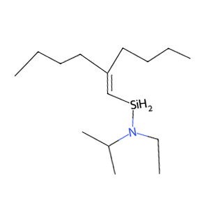 CCCCC(=C[SiH2]N(CC)C(C)C)CCCC